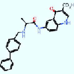 C[C@H](NCc1ccc(-c2ccccc2)cc1)C(=O)Nc1ccc2[nH]cc(C(=O)O)c(=O)c2c1